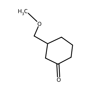 COCC1CCCC(=O)C1